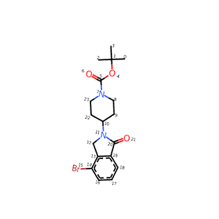 CC(C)(C)OC(=O)N1CCC(N2Cc3c(Br)cccc3C2=O)CC1